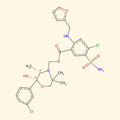 C[C@@H]1N(COC(=O)c2cc(S(N)(=O)=O)c(Cl)cc2NCc2ccco2)C(C)(C)CO[C@@]1(O)c1cccc(Cl)c1